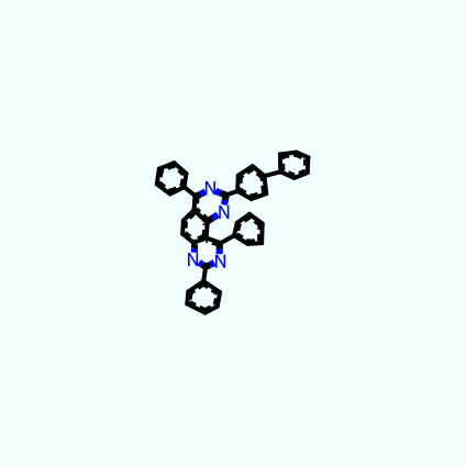 c1ccc(-c2ccc(-c3nc(-c4ccccc4)c4ccc5nc(-c6ccccc6)nc(-c6ccccc6)c5c4n3)cc2)cc1